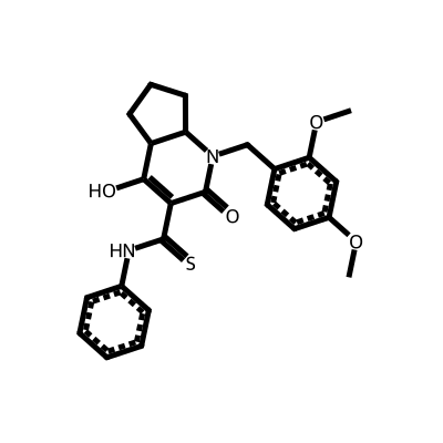 COc1ccc(CN2C(=O)C(C(=S)Nc3ccccc3)=C(O)C3CCCC32)c(OC)c1